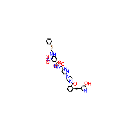 O=C(NS(=O)(=O)c1ccc(NCCSc2ccccc2)c([N+](=O)[O-])c1)c1ccc(N2CCN(C(=O)c3ccccc3C#Cc3cncc(O)c3)CC2)nn1